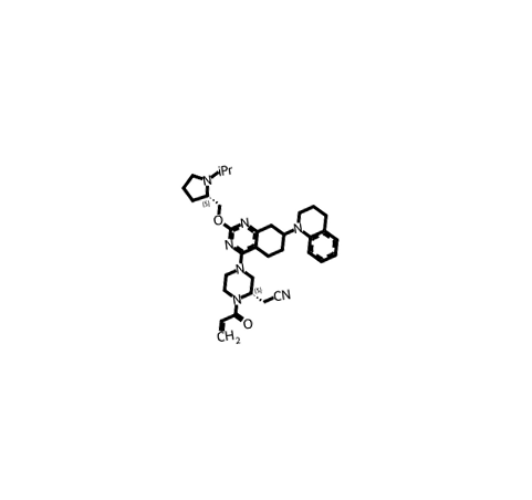 C=CC(=O)N1CCN(c2nc(OC[C@@H]3CCCN3C(C)C)nc3c2CCC(N2CCCc4ccccc42)C3)C[C@@H]1CC#N